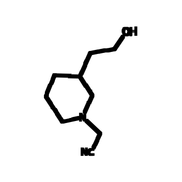 N#CCN1CCCC(CCO)C1